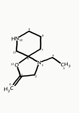 C=C1CN(CC)C2(CCCNC2)O1